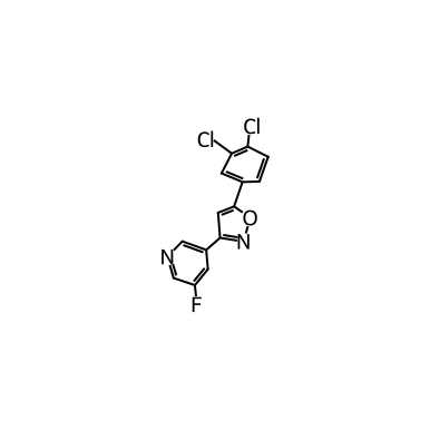 Fc1cncc(-c2cc(-c3ccc(Cl)c(Cl)c3)on2)c1